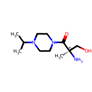 CC(C)N1CCN(C(=O)[C@](C)(N)CO)CC1